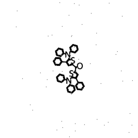 O=C(c1cc(-c2ccccc2)c(N(c2ccccc2)c2ccccc2)s1)c1cc(-c2ccccc2)c(N(c2ccccc2)c2ccccc2)s1